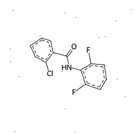 O=C(Nc1c(F)cccc1F)c1ccccc1Cl